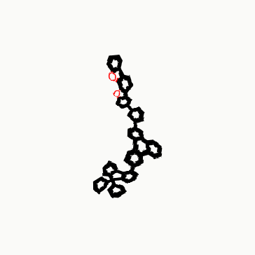 c1ccc(C2(c3ccccc3)c3ccccc3-c3c(-c4ccc5c6ccc(-c7cccc(-c8ccc9oc%10c(ccc%11c%12ccccc%12oc%11%10)c9c8)c7)cc6c6ccccc6c5c4)cccc32)cc1